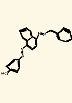 Oc1ccc(N=Nc2ccc(N=NCc3ccccc3)c3ccccc23)cc1